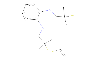 C=CSC(C)(C)CNc1ccccc1NCC(C)(C)S